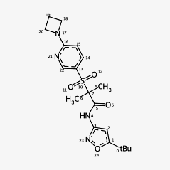 CC(C)(C)c1cc(NC(=O)C(C)(C)S(=O)(=O)c2ccc(N3CCC3)nc2)no1